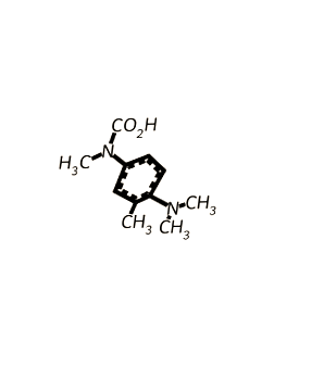 Cc1cc(N(C)C(=O)O)ccc1N(C)C